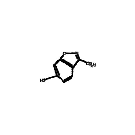 O=C(O)c1noc2cc(O)ccc12